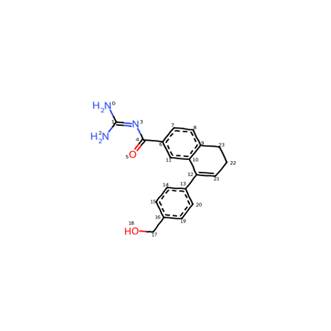 NC(N)=NC(=O)c1ccc2c(c1)C(c1ccc(CO)cc1)=CCC2